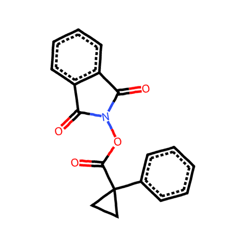 O=C1c2ccccc2C(=O)N1OC(=O)C1(c2ccccc2)CC1